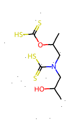 CC(O)CN(CC(C)OC(=S)S)C(=S)S